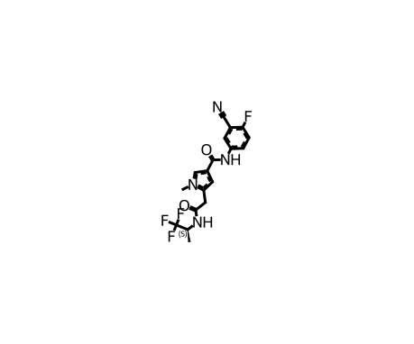 C[C@H](NC(=O)Cc1cc(C(=O)Nc2ccc(F)c(C#N)c2)cn1C)C(F)(F)F